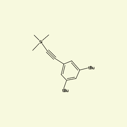 CC(C)(C)c1cc(C#C[Si](C)(C)C)cc(C(C)(C)C)c1